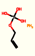 C=CC[O][Ti]([OH])([OH])[OH].P